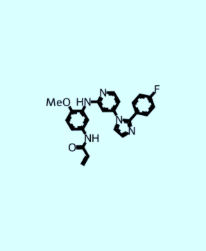 C=CC(=O)Nc1ccc(OC)c(Nc2cc(-n3ccnc3-c3ccc(F)cc3)ccn2)c1